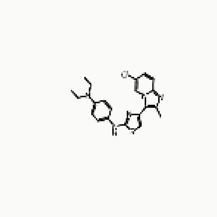 CCN(CC)c1ccc(Nc2nc(-c3c(C)nc4ccc(Cl)cn34)cs2)cc1